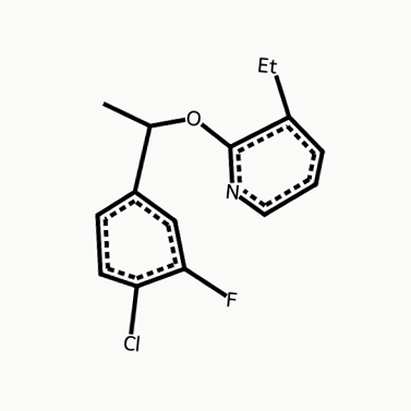 CCc1cccnc1OC(C)c1ccc(Cl)c(F)c1